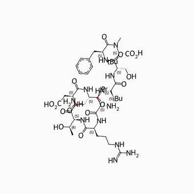 CC[C@H](C)[C@H](NC(=O)[C@H](CC(N)=O)NC(=O)[C@H](CC(=O)O)NC(=O)[C@@H](NC(=O)[C@H](CCCNC(=N)N)NC(=O)[C@@H](N)CC(C)C)[C@@H](C)O)C(=O)N[C@@H](CO)C(=O)N[C@@H](Cc1ccccc1)C(=O)N(C)[C@H](C(=O)O)C(C)(C)C